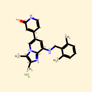 Cc1cccc(C)c1CNc1cc(-c2cc[nH]c(=O)c2)cn2c(C)c(C)nc12.Cl